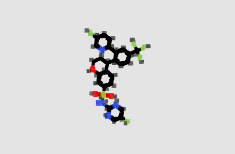 O=S(=O)(Nc1ncc(F)cn1)c1ccc2c(c1)OCCC2c1ccc(C(F)(F)F)cc1-c1ccc(F)cn1